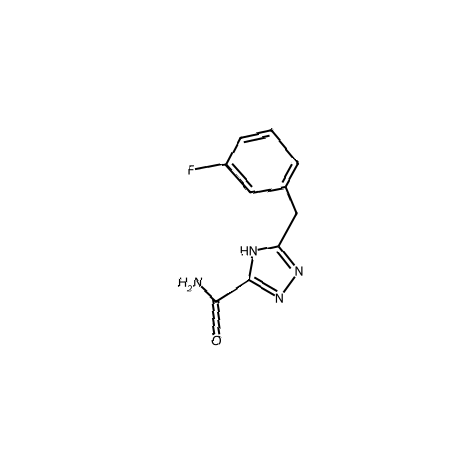 NC(=O)c1nnc(Cc2cccc(F)c2)[nH]1